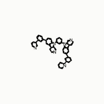 c1ccc(-c2cccc(-c3ccc4c(c3)c3ccncc3n4-c3cccc(-n4c5ccc(-c6cccc(-c7cccnc7)c6)cc5c5ccncc54)c3)c2)nc1